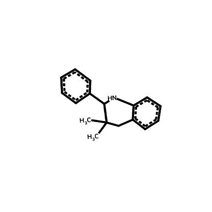 CC1(C)Cc2ccccc2NC1c1ccccc1